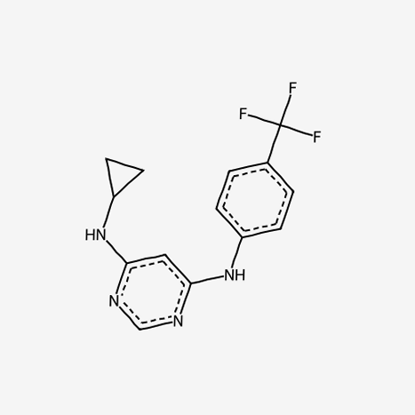 FC(F)(F)c1ccc(Nc2cc(NC3CC3)ncn2)cc1